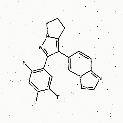 Fc1cc(F)c(-c2nn3c(c2-c2ccc4nccn4c2)CCC3)cc1F